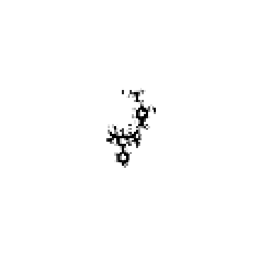 COc1cc(C(=O)NC[C@](O)(c2cc(C(C)(CF)NCl)cc(-c3ccc(F)cc3)n2)C(F)(F)F)ccc1OCC(N)=O